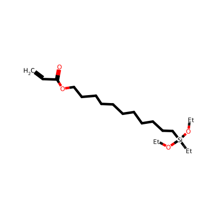 C=CC(=O)OCCCCCCCCCCC[Si](CC)(OCC)OCC